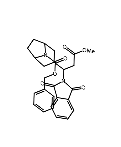 COC(=O)CC(C1CC2CCC(C1)N2C(=O)OCc1ccccc1)N1C(=O)c2ccccc2C1=O